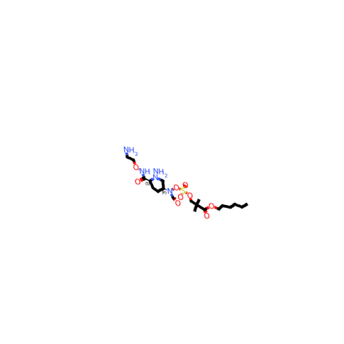 CCCCCCOC(=O)C(C)(C)COS(=O)(=O)ON(C=O)[C@@H]1CC[C@@H](C(=O)NOCCN)N(N)C1